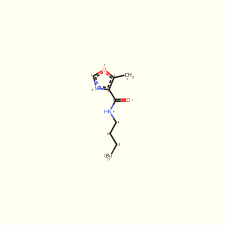 Cc1ocnc1C(=O)NCCCC(C)(C)C